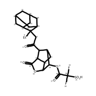 CCC1(CC(=O)C2C3CC4C(OC(=O)C42)C3OC(=O)C(F)(F)S(=O)(=O)O)C2CC3CC(C2)CC1C3